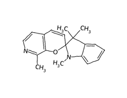 Cc1nccc2c1OC1(C=C2)N(C)c2ccccc2C1(C)C